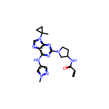 C=CC(=O)NC1CCN(c2nc(Nc3cnn(C)c3)c3ncn(C4(C)CC4)c3n2)C1